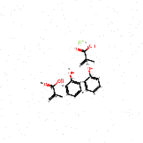 C=C(C)C(=O)O.C=C(C)C(=O)O.F.Oc1ccccc1.Oc1ccccc1